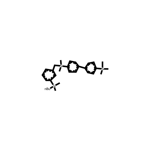 CCCC[Si](C)(C)c1cccc(C[Si](C)(C)c2ccc(-c3ccc([Si](C)(C)C)cc3)cc2)c1